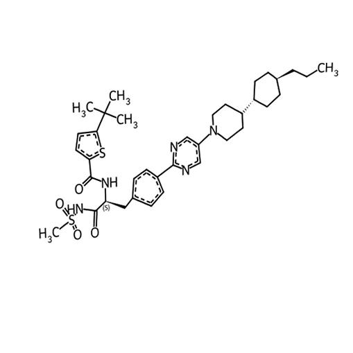 CCC[C@H]1CC[C@H](C2CCN(c3cnc(-c4ccc(C[C@H](NC(=O)c5ccc(C(C)(C)C)s5)C(=O)NS(C)(=O)=O)cc4)nc3)CC2)CC1